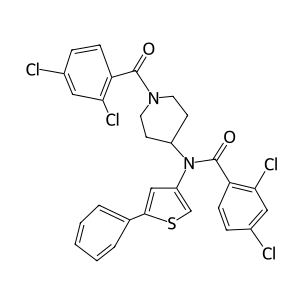 O=C(c1ccc(Cl)cc1Cl)N1CCC(N(C(=O)c2ccc(Cl)cc2Cl)c2csc(-c3ccccc3)c2)CC1